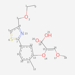 CCOCc1csc(-c2ccc(C)c(O/C(=C\OC)C(=O)O)c2)n1